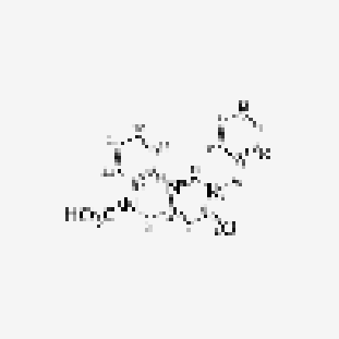 O=C(O)N(Cc1cc(=O)n(Cc2ccccc2)cn1)c1ccccc1